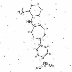 NC1CCCCC1NC1CCCN(c2ccc([N+](=O)[O-])cc2)CC1